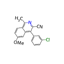 COc1ccc2c(C)nc(C#N)c(-c3cccc(Cl)c3)c2c1